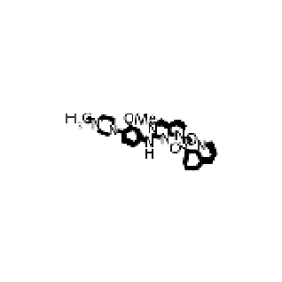 COc1cc(Nc2ncc3ccn(S(=O)(=O)c4cccc5cccnc45)c3n2)ccc1N1CCN(C)CC1